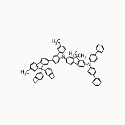 Cc1ccc2c(c1)C(c1ccc3c(c1)CC3)(c1ccc3c(c1)CC3)c1cc(-c3ccc4c(c3)c3cc(C)ccc3n4-c3ccc4c(c3)C(C)(C)c3cc(N(c5ccc(-c6ccccc6)cc5)c5ccc(-c6ccccc6)cc5)ccc3-4)ccc1-2